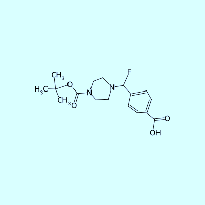 CC(C)(C)OC(=O)N1CCN(C(F)c2ccc(C(=O)O)cc2)CC1